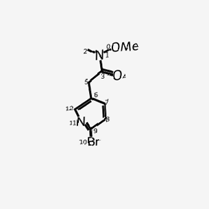 CON(C)C(=O)Cc1ccc(Br)nc1